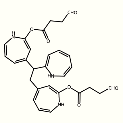 O=CCCC(=O)OC1=CC(CC(C2=CC=CNC(OC(=O)CCC=O)=C2)C2=CC=CC=CN2)=CC=CN1